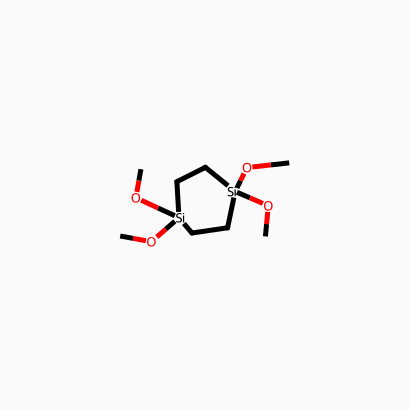 CO[Si]1(OC)CC[Si](OC)(OC)CC1